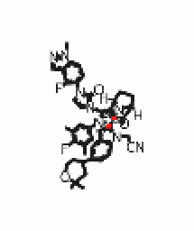 Cc1cc(-n2nc3c(c2-n2ccn(-c4ccc5c(cnn5C)c4F)c2=O)[C@@H]2CC[C@H](C3)N2S(=O)(=O)c2cc3cc(C4CCOC(C)(C)C4)ccc3n2CC#N)cc(C)c1F